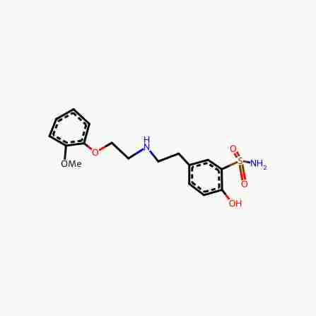 COc1ccccc1OCCNCCc1ccc(O)c(S(N)(=O)=O)c1